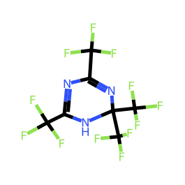 FC(F)(F)C1=NC(C(F)(F)F)(C(F)(F)F)NC(C(F)(F)F)=N1